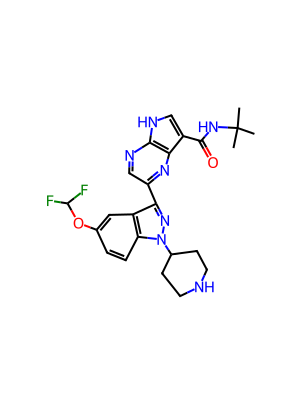 CC(C)(C)NC(=O)c1c[nH]c2ncc(-c3nn(C4CCNCC4)c4ccc(OC(F)F)cc34)nc12